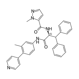 Cc1cc(NC(=O)[C@@H](NC(=O)c2ccnn2C)C(c2ccccc2)c2ccccc2)ccc1-c1ccncc1